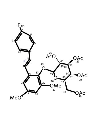 COc1cc(/C=C/c2ccc(F)cc2)c(OC2O[C@H](COC(C)=O)[C@@H](OC(C)=O)[C@H](OC(C)=O)[C@H]2OC(C)=O)c(OC)c1